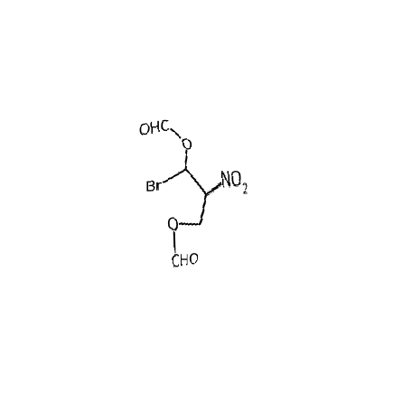 O=COCC(C(Br)OC=O)[N+](=O)[O-]